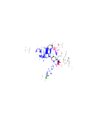 CNC(=O)c1cc(Nc2nc(-c3ccc4c(c3)N([C@H]3C[C@@H](N5CC6C(C5)C6(F)F)C3)C(=O)C4(C)C)cc3ncn(C(C)C)c23)ccc1C